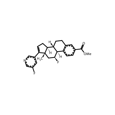 COC(=O)c1ccc2c(c1)CC[C@@H]1[C@@H]2[C@@H](F)C[C@]2(C)C(c3cncc(F)c3)=CC[C@@H]12